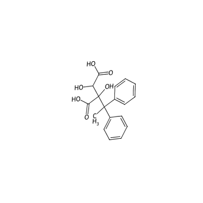 CC(c1ccccc1)(c1ccccc1)C(O)(C(=O)O)C(O)C(=O)O